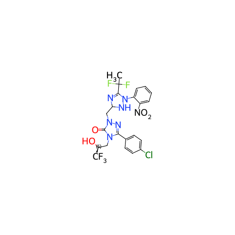 CC(F)(F)C1=NC(Cn2nc(-c3ccc(Cl)cc3)n(C[C@H](O)C(F)(F)F)c2=O)NN1c1ccccc1[N+](=O)[O-]